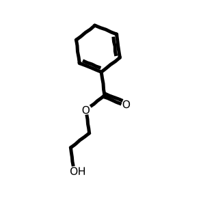 O=C(OCCO)C1=CCCC=C1